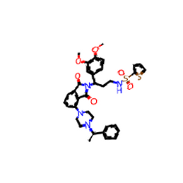 COc1ccc(C(CCNS(=O)(=O)c2cccs2)N2C(=O)c3cccc(N4CCN([C@H](C)c5ccccc5)CC4)c3C2=O)cc1OC